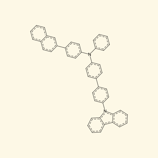 c1ccc(N(c2ccc(-c3ccc(-n4c5ccccc5c5ccccc54)cc3)cc2)c2ccc(-c3ccc4ccccc4c3)cc2)cc1